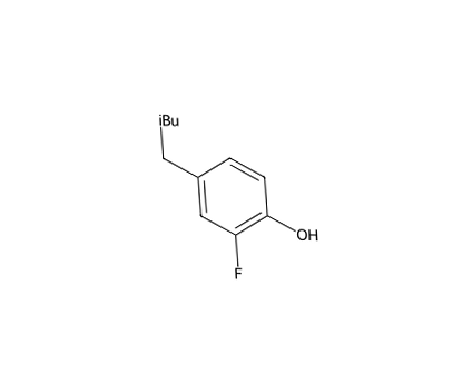 CCC(C)Cc1ccc(O)c(F)c1